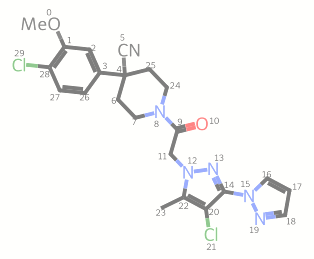 COc1cc(C2(C#N)CCN(C(=O)Cn3nc(-n4cccn4)c(Cl)c3C)CC2)ccc1Cl